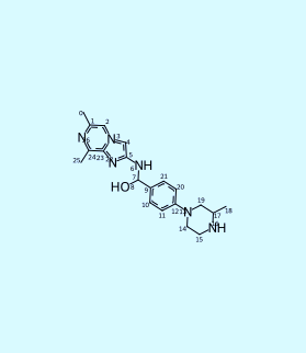 Cc1cn2cc(NC(O)c3ccc(N4CCNC(C)C4)cc3)nc2c(C)n1